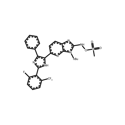 CCCCn1c(NOS(C)(=O)=O)nc2ccc(-c3[nH]c(-c4c(F)cccc4C(F)(F)F)nc3-c3ccccc3)nc21